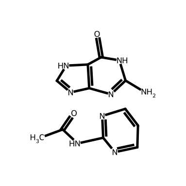 CC(=O)Nc1ncccn1.Nc1nc2nc[nH]c2c(=O)[nH]1